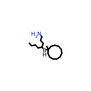 CCCCC(BC1(C)CCCCCCCCCC1)CCCN